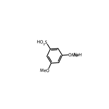 COc1cc(OC)cc(S(=O)(=O)O)c1.[NaH]